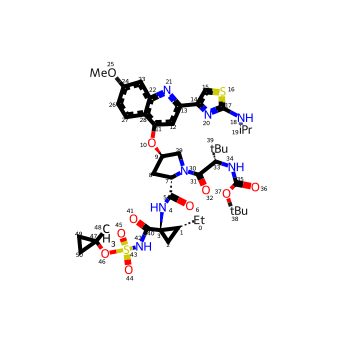 CC[C@@H]1C[C@]1(NC(=O)[C@@H]1C[C@@H](Oc2cc(-c3csc(NC(C)C)n3)nc3cc(OC)ccc23)CN1C(=O)[C@@H](NC(=O)OC(C)(C)C)C(C)(C)C)C(=O)NS(=O)(=O)OC1(C)CC1